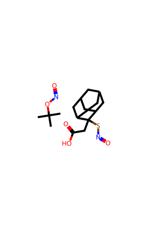 CC(C)(C)ON=O.O=NSC1(CC(=O)O)C2CC3CC(C2)CC1C3